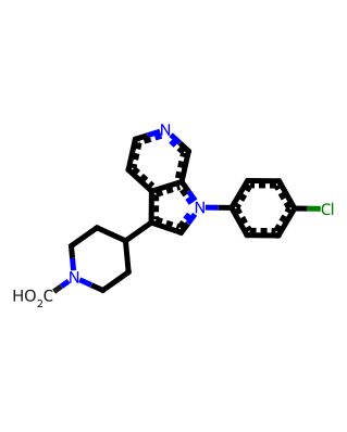 O=C(O)N1CCC(c2cn(-c3ccc(Cl)cc3)c3cnccc23)CC1